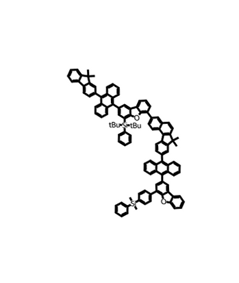 CC1(C)c2ccccc2-c2ccc(-c3c4ccccc4c(-c4cc([Si](c5ccccc5)(C(C)(C)C)C(C)(C)C)c5oc6c(-c7ccc8c9c(ccc8c7)C(C)(C)c7cc(-c8c%10ccccc%10c(-c%10cc(-c%11ccc([Si](C)(C)c%12ccccc%12)cc%11)c%11oc%12ccccc%12c%11c%10)c%10ccccc8%10)ccc7-9)cccc6c5c4)c4ccccc34)cc21